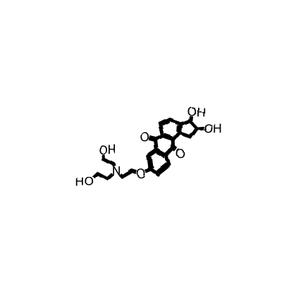 O=C1c2cc(OCCN(CCO)CCO)ccc2C(=O)c2c1ccc1c2CC(O)C1O